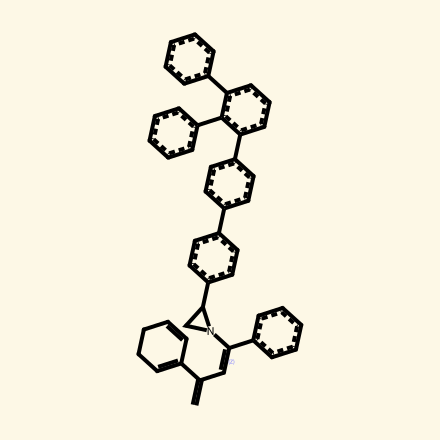 C=C(/C=C(/c1ccccc1)N1CC1c1ccc(-c2ccc(-c3cccc(-c4ccccc4)c3-c3ccccc3)cc2)cc1)C1=CCCC=C1